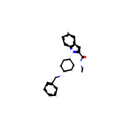 CCN(C(=O)c1cc2cc(F)ccc2[nH]1)[C@H]1CCC[C@@H](NCc2ccccc2)C1